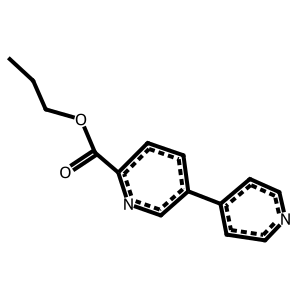 CCCOC(=O)c1ccc(-c2ccncc2)cn1